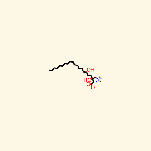 CCCCCCCC/C=C\CCCCCC(O)CCC(O)(CC(=O)[O-])C[N+](C)(C)C